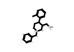 Cc1ccccc1C1CCN(Cc2ccccc2)CC1CO